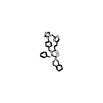 Cc1nc(C=CC(=O)N(Cc2ccc(-n3cncn3)cc2)[C@@H](Cc2ccccc2)C(=O)N2CCc3ccccc3C2)cs1